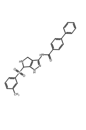 Cc1cccc(S(=O)(=O)C2NCc3c(NC(=O)c4ccc(-c5ccccc5)cc4)n[nH]c32)c1